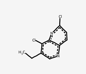 CCc1cnc2ccc(Cl)nc2c1Cl